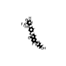 CC(C)(O)c1cnc(-c2cc3ccn(C[C@@H]4CCC[C@H](Nc5cn[nH]c(=O)c5C(F)(F)F)C4)c(=O)c3cc2F)nc1